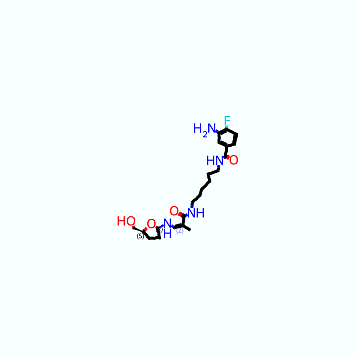 C/C(=C/N[C@H]1CC[C@@H](CO)O1)C(=O)NCCCCCCNC(=O)c1ccc(F)c(N)c1